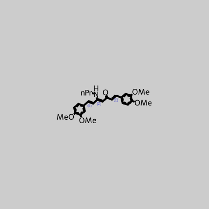 CCCNC(=C\C(=O)/C=C/c1ccc(OC)c(OC)c1)/C=C/c1ccc(OC)c(OC)c1